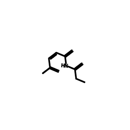 C=C(C)/C=C\C(=C)NC(=C)CC